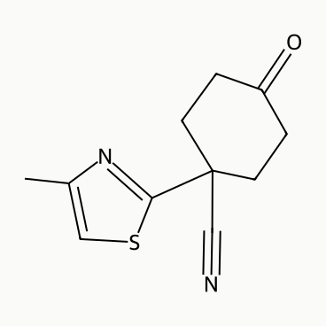 Cc1csc(C2(C#N)CCC(=O)CC2)n1